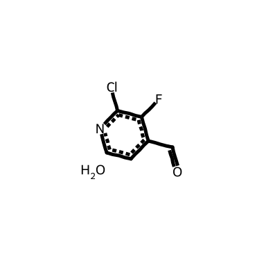 O.O=Cc1ccnc(Cl)c1F